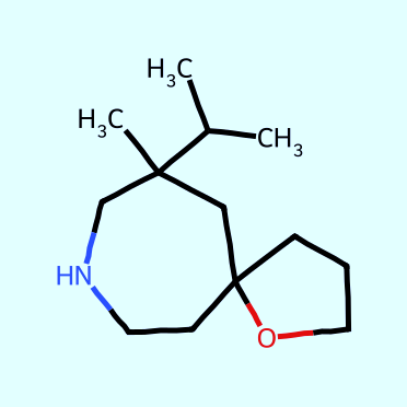 CC(C)C1(C)CNCCC2(CCCO2)C1